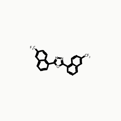 FC(F)(F)c1ccc2c(-c3nnc(-c4cccc5cc(C(F)(F)F)ccc45)o3)cccc2c1